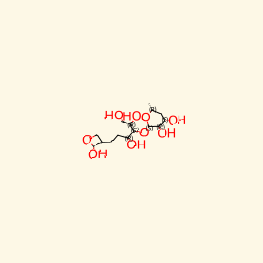 C[C@@H]1C[C@H](O)[C@@H](O)[C@H](O[C@H]([C@H](O)CO)[C@H](O)CCC2COC2O)O1